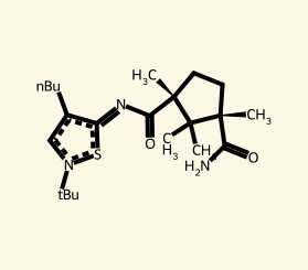 CCCCc1cn(C(C)(C)C)s/c1=N\C(=O)[C@]1(C)CC[C@](C)(C(N)=O)C1(C)C